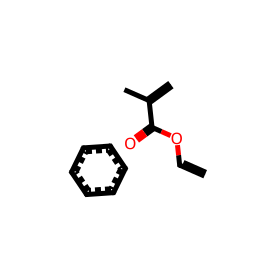 C=COC(=O)C(=C)C.c1ccccc1